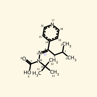 CC(C)C/C(=N\N(C(=O)O)C(C)(C)C)c1ccncc1